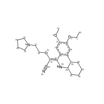 CCOc1cc2c(cc1OC)C(=C(C#N)OCCN1CCCC1)NC1CCCCC21